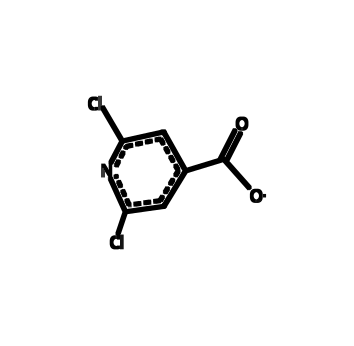 [O]C(=O)c1cc(Cl)nc(Cl)c1